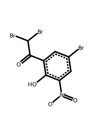 O=C(c1cc(Br)cc([N+](=O)[O-])c1O)C(Br)Br